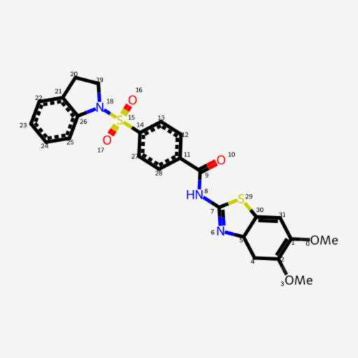 COC1=C(OC)CC2N=C(NC(=O)c3ccc(S(=O)(=O)N4CCc5ccccc54)cc3)SC2=C1